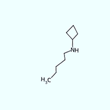 CCCCCNC1CCC1